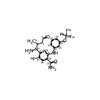 CC(CC=O)N(N)c1nc(Nc2cccc(OC(F)(F)F)c2)c(C(N)=O)cc1F